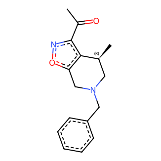 CC(=O)c1noc2c1[C@@H](C)CN(Cc1ccccc1)C2